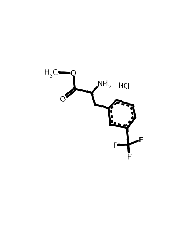 COC(=O)C(N)Cc1cccc(C(F)(F)F)c1.Cl